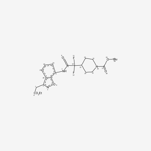 CCOC(=O)Cc1noc2c(NC(=O)C(F)(F)C3CCN(C(=O)OC(C)(C)C)CC3)cccc12